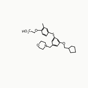 Cc1cc(Sc2cc(CN3CCOCC3)cc(OCC3CCCC3)c2)ccc1OCC(=O)O